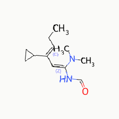 CC/C=C(/C=C(/NC=O)N(C)C)C1CC1